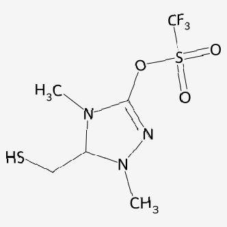 CN1N=C(OS(=O)(=O)C(F)(F)F)N(C)C1CS